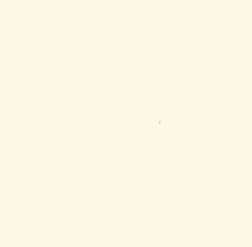 CN(Cc1cc(Cl)cc(Cl)c1)C(=O)CC(c1ccc(F)cc1)C1(F)CCNCC1.Cl